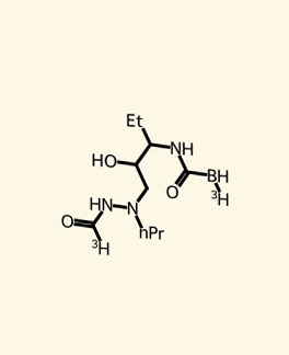 [3H]BC(=O)NC(CC)C(O)CN(CCC)NC([3H])=O